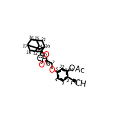 C#Cc1ccc(OCC(=O)OC2(C)C3CC4CC(C3)CC2C4)cc1OC(C)=O